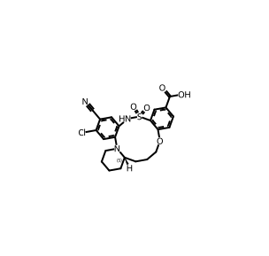 N#Cc1cc2c(cc1Cl)N1CCCC[C@H]1CCCOc1ccc(C(=O)O)cc1S(=O)(=O)N2